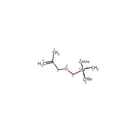 C=C(C)COC[Si](C)(OC)OC